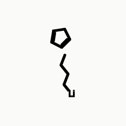 C1=CCC=C1.[Li][CH2]CCC